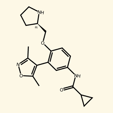 Cc1noc(C)c1-c1cc(NC(=O)C2CC2)ccc1OC[C@H]1CCCN1